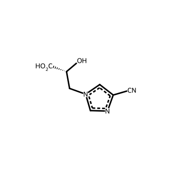 N#Cc1cn(C[C@@H](O)C(=O)O)cn1